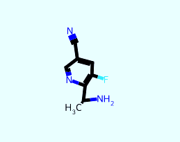 C[C@H](N)c1ncc(C#N)cc1F